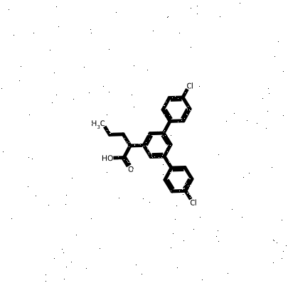 CCCC(C(=O)O)c1cc(-c2ccc(Cl)cc2)cc(-c2ccc(Cl)cc2)c1